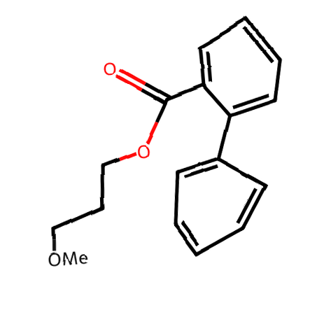 COCCCOC(=O)c1ccccc1-c1ccccc1